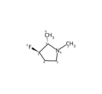 C[C@H]1[C@H](F)CCN1C